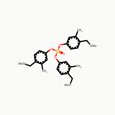 COCc1ccc(OP(=O)(Oc2ccc(COC)c(C)c2)Oc2ccc(COC)c(C)c2)cc1C